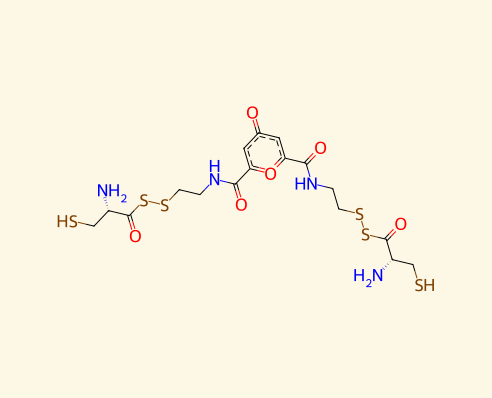 N[C@@H](CS)C(=O)SSCCNC(=O)c1cc(=O)cc(C(=O)NCCSSC(=O)[C@@H](N)CS)o1